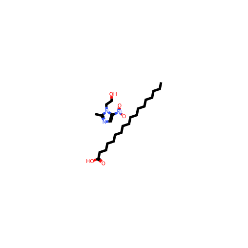 CCCCCCCCCCCCCCCCCC(=O)O.Cc1ncc([N+](=O)[O-])n1CCO